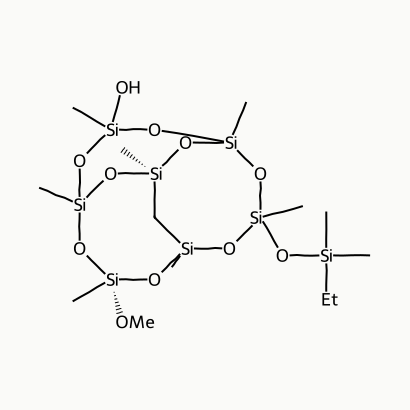 CC[Si](C)(C)O[Si]1(C)O[Si]2(C)C[Si@]3(C)O[Si](C)(O[Si](C)(O)O[Si](C)(O3)O[Si@@](C)(OC)O2)O1